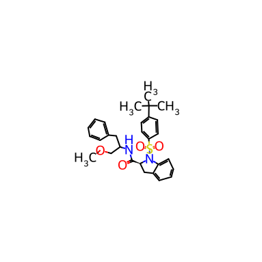 COCC(Cc1ccccc1)NC(=O)[C@@H]1Cc2ccccc2N1S(=O)(=O)c1ccc(C(C)(C)C)cc1